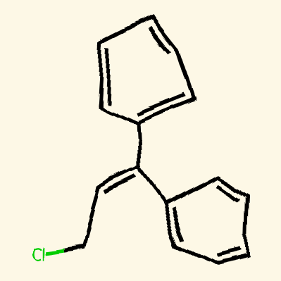 ClCC=C(c1ccccc1)c1ccccc1